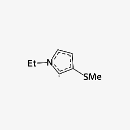 CCn1[c]c(SC)cc1